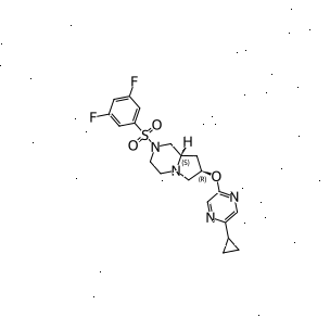 O=S(=O)(c1cc(F)cc(F)c1)N1CCN2C[C@H](Oc3cnc(C4CC4)cn3)C[C@H]2C1